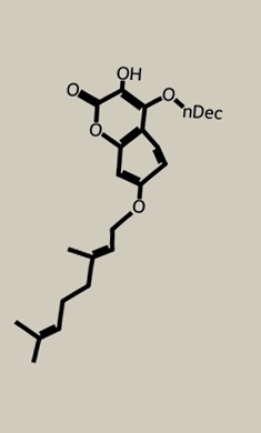 CCCCCCCCCCOc1c(O)c(=O)oc2cc(OC/C=C(\C)CCC=C(C)C)ccc12